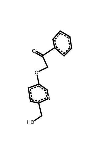 O=C(COc1ccc(CO)nc1)c1ccccc1